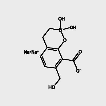 O=C([O-])c1c(CO)ccc2c1O[B-](O)(O)CC2.[Na+].[Na+]